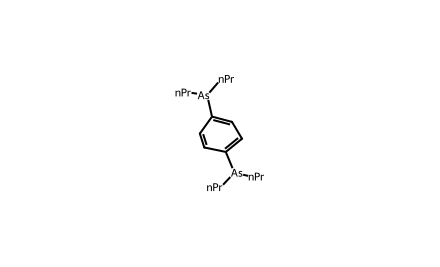 CCC[As](CCC)c1ccc([As](CCC)CCC)cc1